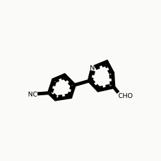 N#Cc1ccc(-c2cc(C=O)ccn2)cc1